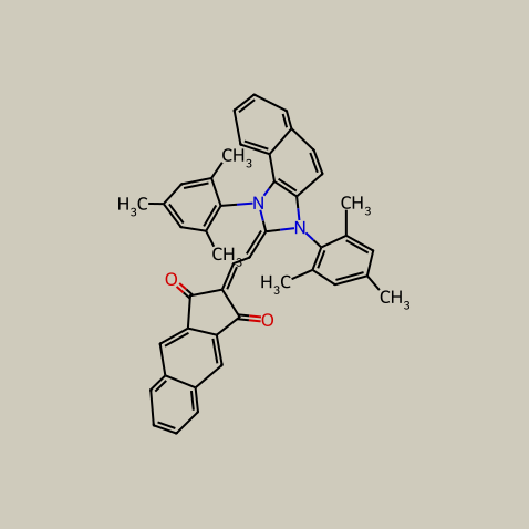 Cc1cc(C)c(N2/C(=C/C=C3C(=O)c4cc5ccccc5cc4C3=O)N(c3c(C)cc(C)cc3C)c3c2ccc2ccccc32)c(C)c1